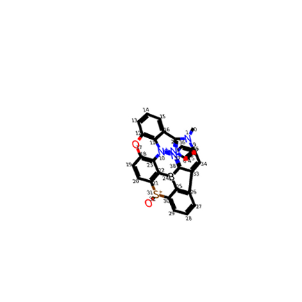 Cn1c2[n+](c3ccccc31)[N+]13c4c(cccc4-2)Oc2ccc4c(c21)B1c2c(cccc2[S+]4[O-])-c2ccc[n+]3c21